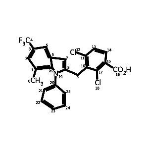 Cc1cc(C(F)(F)F)cc2cc(Cc3c(Cl)ccc(C(=O)O)c3Cl)n(-c3ccccc3)c12